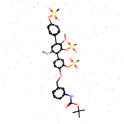 COc1cc(-c2ccc(OS(C)(=O)=O)cc2)c(OC)c(OS(C)(=O)=O)c1-c1ccc(OCc2cccc(NC(=O)OC(C)(C)C)c2)c(OS(C)(=O)=O)c1